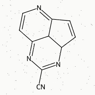 N#CC1=NC2C=CC3=NC=CC(=N1)C32